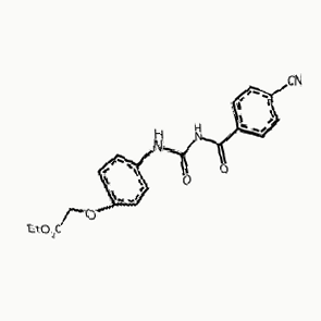 CCOC(=O)COc1ccc(NC(=O)NC(=O)c2ccc(C#N)cc2)cc1